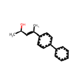 CC(=CC(C)O)c1ccc(-c2ccccc2)cc1